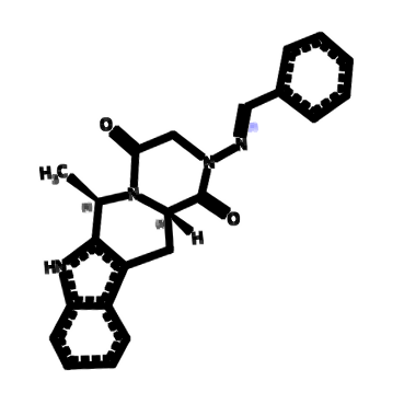 C[C@@H]1c2[nH]c3ccccc3c2C[C@H]2C(=O)N(/N=C/c3ccccc3)CC(=O)N12